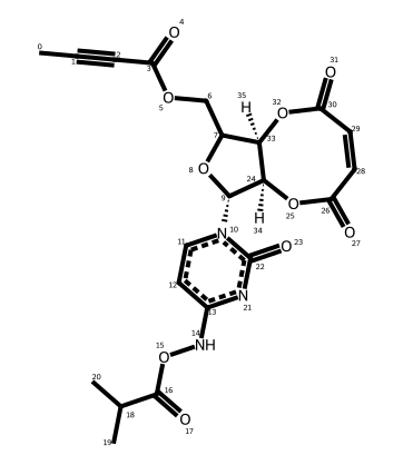 CC#CC(=O)OCC1O[C@@H](n2ccc(NOC(=O)C(C)C)nc2=O)[C@@H]2OC(=O)/C=C\C(=O)O[C@H]12